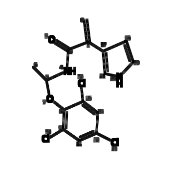 C=C(C(=O)NC(C)Oc1c(Cl)cc(Cl)cc1Cl)c1cc[nH]c1